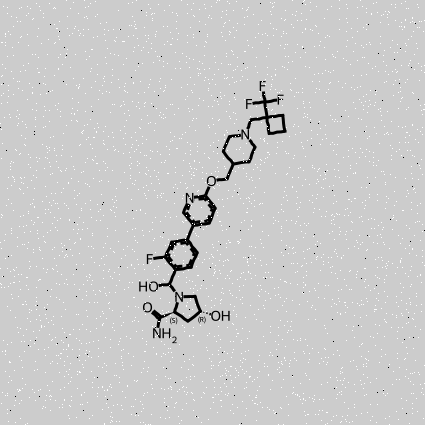 NC(=O)[C@@H]1C[C@@H](O)CN1C(O)c1ccc(-c2ccc(OCC3CCN(CC4(C(F)(F)F)CCC4)CC3)nc2)cc1F